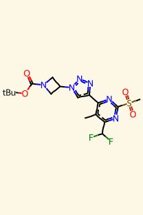 Cc1c(-c2cn(C3CN(C(=O)OC(C)(C)C)C3)nn2)nc(S(C)(=O)=O)nc1C(F)F